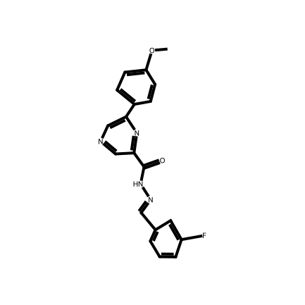 COc1ccc(-c2cncc(C(=O)N/N=C/c3cccc(F)c3)n2)cc1